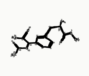 COC(=O)[C@H](C)Cc1cccc(C(OC(C)=O)C(C)=O)c1